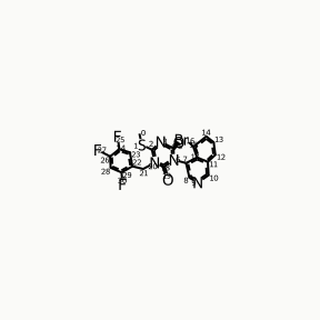 CSc1nc(=O)n(-c2cncc3cccc(Br)c23)c(=O)n1Cc1cc(F)c(F)cc1F